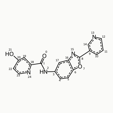 O=C(Nc1ccc2oc(-c3cccnc3)nc2c1)c1cc(O)ccn1